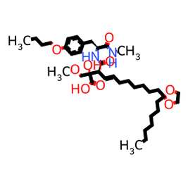 CCCCCCCC1(CCCCCC/C=C/[C@H](C(=O)N[C@@H](Cc2ccc(OCCCC)cc2)C(=O)NC)[C@@](O)(COC)C(=O)O)OCCO1